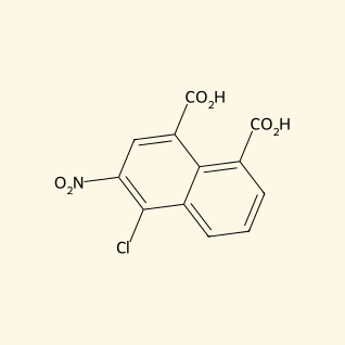 O=C(O)c1cccc2c(Cl)c([N+](=O)[O-])cc(C(=O)O)c12